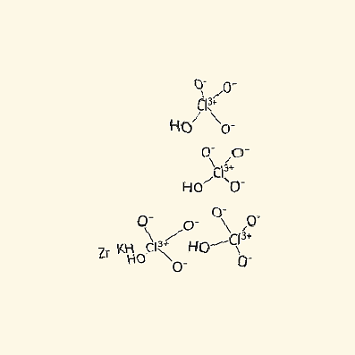 [KH].[O-][Cl+3]([O-])([O-])O.[O-][Cl+3]([O-])([O-])O.[O-][Cl+3]([O-])([O-])O.[O-][Cl+3]([O-])([O-])O.[Zr]